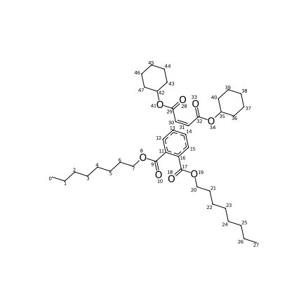 CCCCCCCCOC(=O)c1ccccc1C(=O)OCCCCCCCC.O=C(/C=C\C(=O)OC1CCCCC1)OC1CCCCC1